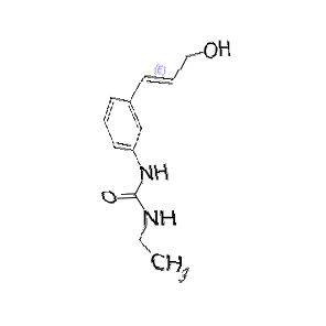 CCNC(=O)Nc1cccc(/C=C/CO)c1